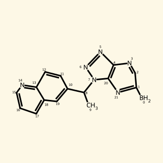 Bc1cnc2nnn(C(C)c3ccc4ncccc4c3)c2n1